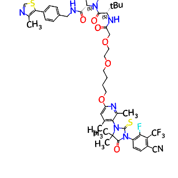 Cc1cc(OCCCCOCCOCC(=O)N[C@H](C(=O)N2CCC[C@H]2C(=O)NCc2ccc(-c3scnc3C)cc2)C(C)(C)C)nc(C)c1N1C(=S)N(c2ccc(C#N)c(C(F)(F)F)c2F)C(=O)C1(C)C